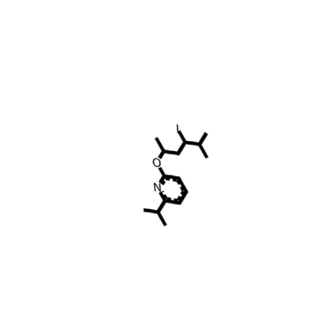 CC(CC(I)C(C)C)Oc1cccc(C(C)C)n1